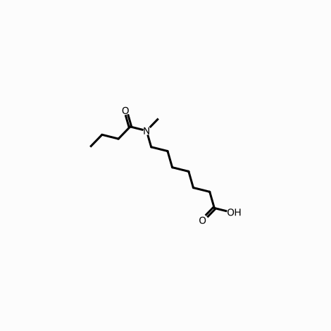 CCCC(=O)N(C)CCCCCCC(=O)O